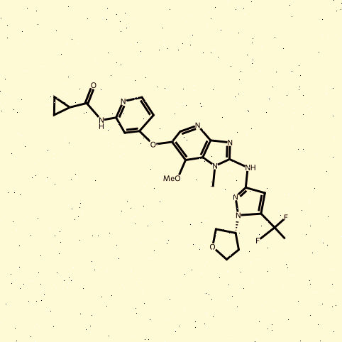 COc1c(Oc2ccnc(NC(=O)C3CC3)c2)cnc2nc(Nc3cc(C(C)(F)F)n([C@@H]4CCOC4)n3)n(C)c12